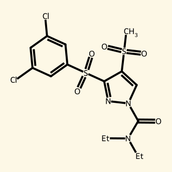 CCN(CC)C(=O)n1cc(S(C)(=O)=O)c(S(=O)(=O)c2cc(Cl)cc(Cl)c2)n1